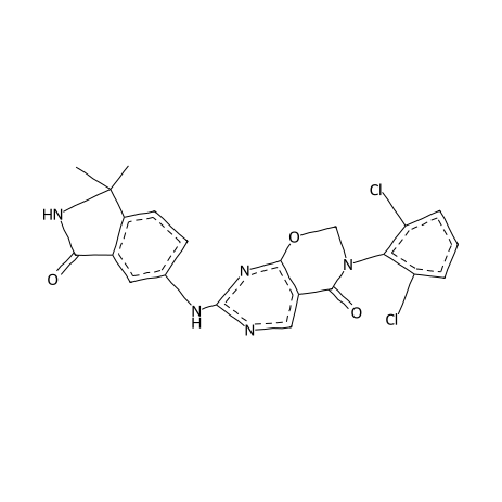 CC1(C)NC(=O)c2cc(Nc3ncc4c(n3)OCN(c3c(Cl)cccc3Cl)C4=O)ccc21